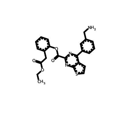 CCOC(=O)Cc1ccccc1OC(=O)c1nc(-c2cccc(CN)c2)c2ccsc2n1